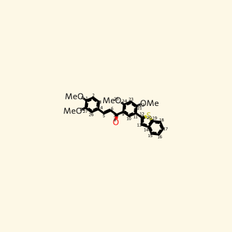 COc1ccc(C=CC(=O)c2cc(-c3cc4ccccc4s3)c(OC)cc2OC)cc1OC